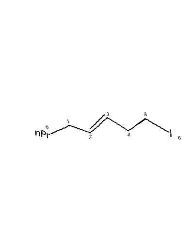 CCCCC=CCCI